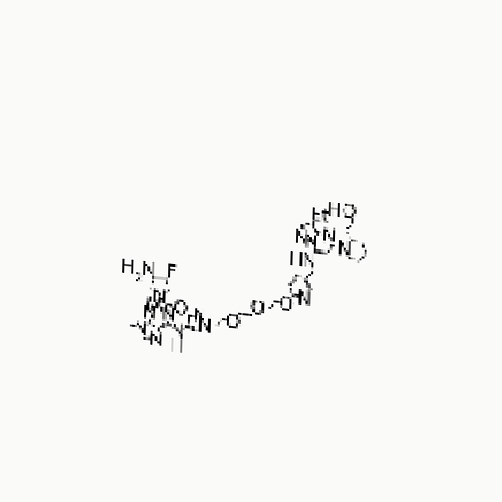 CCc1cnn2c(NCc3ccc(OCCOCCOCCn4cc(Nc5nc(N6C[C@@H](N)[C@H](F)C6)nc6c5ncn6C)c(OC)n4)nc3)cc(N3CCCC[C@H]3CCO)nc12